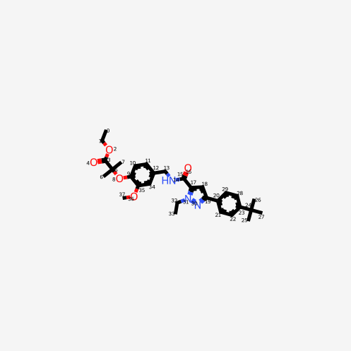 CCOC(=O)C(C)(C)Oc1ccc(CNC(=O)c2cc(-c3ccc(C(C)(C)C)cc3)nn2CC)cc1OC